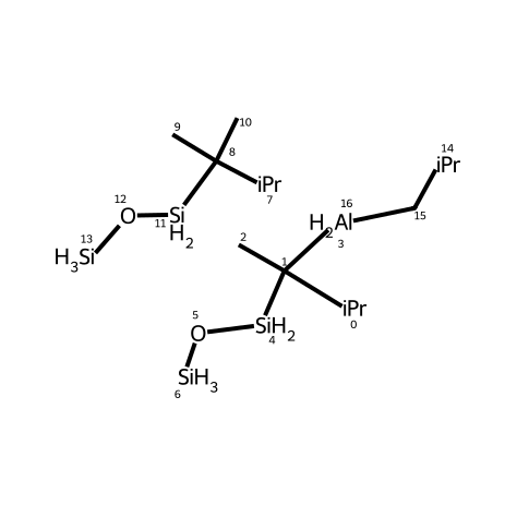 CC(C)C(C)(C)[SiH2]O[SiH3].CC(C)C(C)(C)[SiH2]O[SiH3].CC(C)[CH2][AlH2]